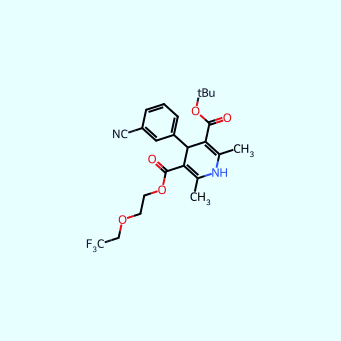 CC1=C(C(=O)OCCOCC(F)(F)F)C(c2cccc(C#N)c2)C(C(=O)OC(C)(C)C)=C(C)N1